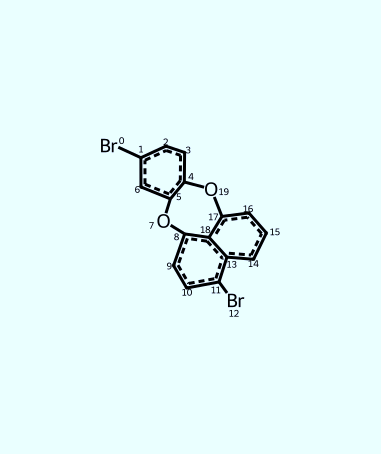 Brc1ccc2c(c1)Oc1ccc(Br)c3cccc(c13)O2